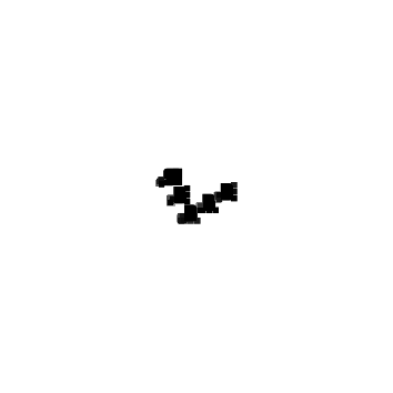 [B].[B].[B].[B].[Si]